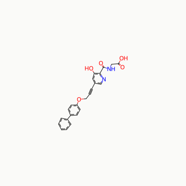 O=C(O)CNC(=O)c1ncc(C#CCOc2ccc(-c3ccccc3)cc2)cc1O